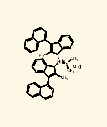 CC1=C(c2cccc3ccccc23)c2ccccc2[C@@H]1[Hf+2]([C@H]1C(C)=C(c2cccc3ccccc23)c2ccccc21)=[Si](C)C.[Cl-].[Cl-]